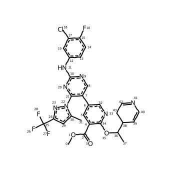 COC(=O)c1cc(-c2cnc(Nc3ccc(F)c(Cl)c3)nc2-n2nc(C(F)(F)F)cc2C)cnc1OC(C)C1C=CN=CC1